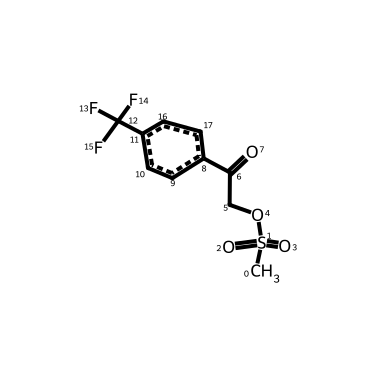 CS(=O)(=O)OCC(=O)c1ccc(C(F)(F)F)cc1